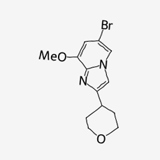 COc1cc(Br)cn2cc(C3CCOCC3)nc12